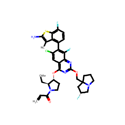 C=CC(=O)N1CC[C@@H](Oc2nc(OCC34CCCN3C[C@H](F)C4)nc3c(F)c(-c4ccc(F)c5sc(N)c(C#N)c45)c(Cl)cc23)[C@@H]1COC